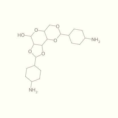 NC1CCC(C2OCC3OC(O)C4OC(C5CCC(N)CC5)OC4C3O2)CC1